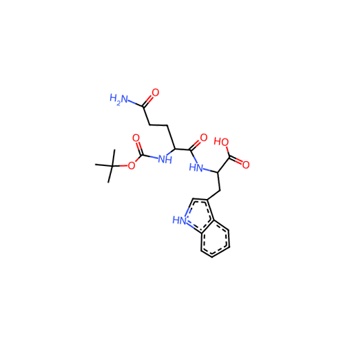 CC(C)(C)OC(=O)NC(CCC(N)=O)C(=O)NC(Cc1c[nH]c2ccccc12)C(=O)O